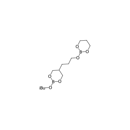 CCC(C)OB1OCC(CCCOB2OCCCO2)CO1